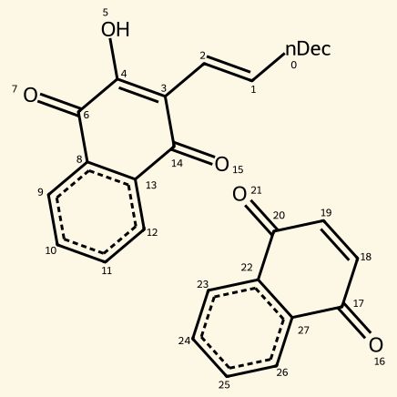 CCCCCCCCCCC=CC1=C(O)C(=O)c2ccccc2C1=O.O=C1C=CC(=O)c2ccccc21